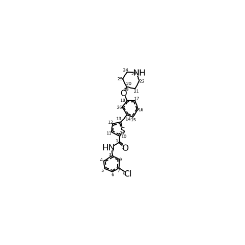 O=C(Nc1cccc(Cl)c1)c1ccc(-c2cccc(OC3CCNCC3)c2)s1